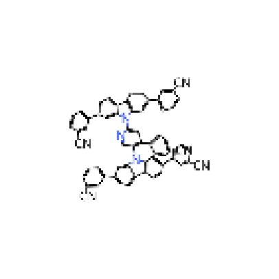 N#Cc1ccc(-c2cc(-n3c4cc(-c5cccc(C#N)c5)ccc4c4ccc(-c5cccc(C#N)c5)cc43)ncc2-n2c3cc(-c4cccc(C#N)c4)ccc3c3ccc(-c4cccc(C#N)c4)cc32)cc1